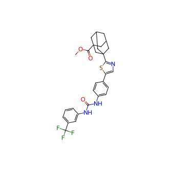 COC(=O)C12CC3CC(C1)CC(c1ncc(-c4ccc(NC(=O)Nc5cccc(C(F)(F)F)c5)cc4)s1)(C3)C2